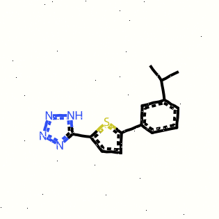 CC(C)c1cccc(-c2ccc(-c3nnn[nH]3)s2)c1